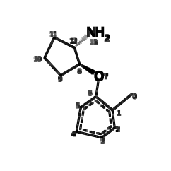 Cc1ccccc1O[C@H]1CCC[C@@H]1N